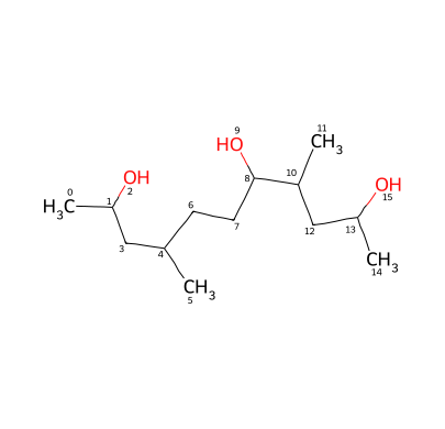 CC(O)CC(C)CCC(O)C(C)CC(C)O